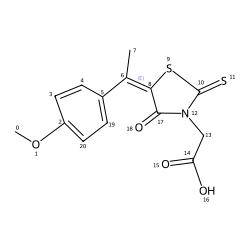 COc1ccc(/C(C)=C2/SC(=S)N(CC(=O)O)C2=O)cc1